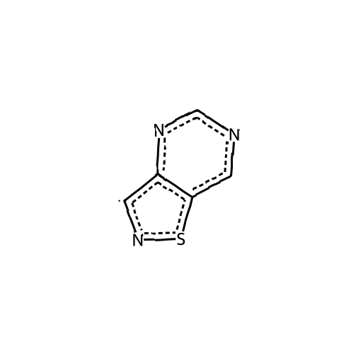 [c]1nsc2cncnc12